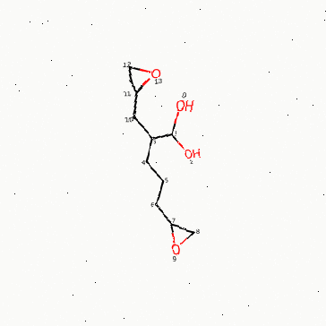 OC(O)C(CCCC1CO1)CC1CO1